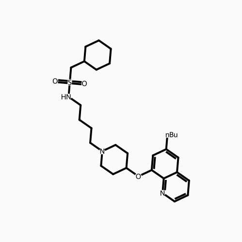 CCCCc1cc(OC2CCN(CCCCNS(=O)(=O)CC3CCCCC3)CC2)c2ncccc2c1